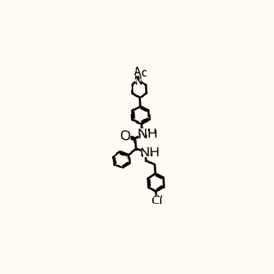 CC(=O)N1CCC(c2ccc(NC(=O)C(NCCc3ccc(Cl)cc3)c3ccccc3)cc2)CC1